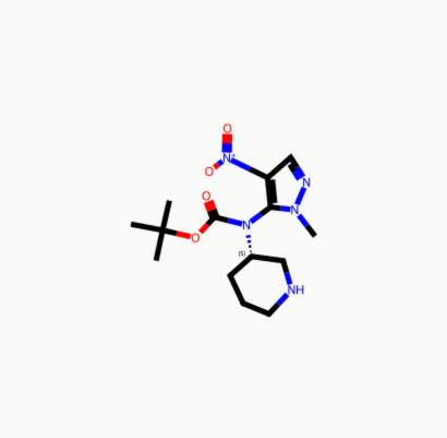 Cn1ncc([N+](=O)[O-])c1N(C(=O)OC(C)(C)C)[C@H]1CCCNC1